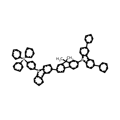 CC1(C)c2cc(-c3ccc4c(c3)c3ccccc3n4-c3ccc([Si](c4ccccc4)(c4ccccc4)c4ccccc4)cc3)ccc2-c2ccc(-n3c4ccc(-c5ccccc5)cc4c4cc(-c5ccccc5)ccc43)cc21